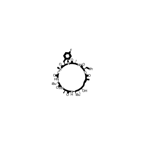 CC[C@H](C)[C@H]1NC(=O)[C@@H](C)NC(=O)[C@H]([C@@H](C)CC)NC(=O)CN(C)C(=O)[C@@H](Cc2ccc(F)cc2)N(C)C(=O)[C@H](C)NC(=O)[C@@H](CC(C)C)OC(=O)/C(C)=C/C[C@H](O)[C@@H]1C